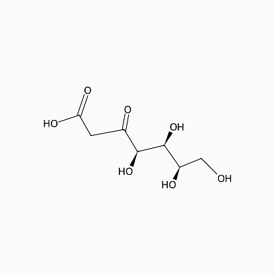 O=C(O)CC(=O)[C@H](O)[C@@H](O)[C@H](O)CO